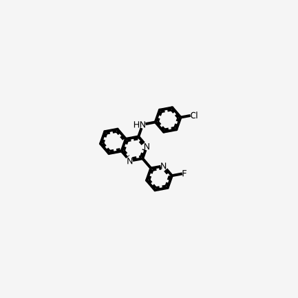 Fc1cccc(-c2nc(Nc3ccc(Cl)cc3)c3ccccc3n2)n1